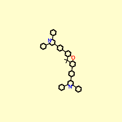 CC1(C)c2cc(-c3ccc(-c4cc(-c5ccccc5)nc(-c5ccccc5)c4)cc3)ccc2Oc2ccc(-c3ccc(-c4cc(-c5ccccc5)nc(-c5ccccc5)c4)cc3)cc21